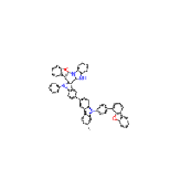 Cc1ccc2c3cc(-c4ccc5c(c4)c4c(n5-c5ccccc5)-c5c(oc6ccccc56)N5c6ccccc6NC45)ccc3n(-c3ccc(C4=C=C=Cc5c4oc4ccccc54)cc3)c2c1